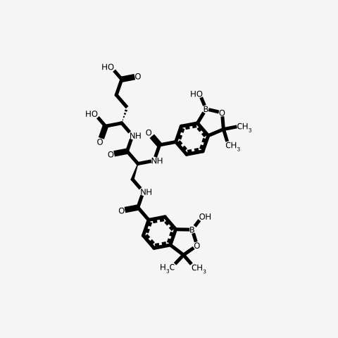 CC1(C)OB(O)c2cc(C(=O)NC[C@H](NC(=O)c3ccc4c(c3)B(O)OC4(C)C)C(=O)N[C@@H](CCC(=O)O)C(=O)O)ccc21